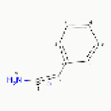 N/B=C/c1ccccc1